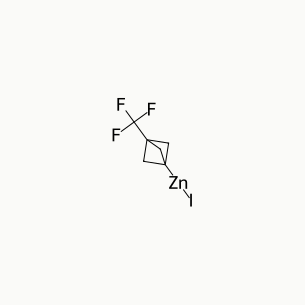 FC(F)(F)C12C[C]([Zn][I])(C1)C2